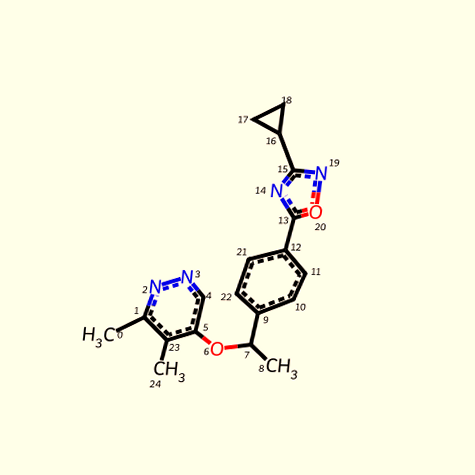 Cc1nncc(OC(C)c2ccc(-c3nc(C4CC4)no3)cc2)c1C